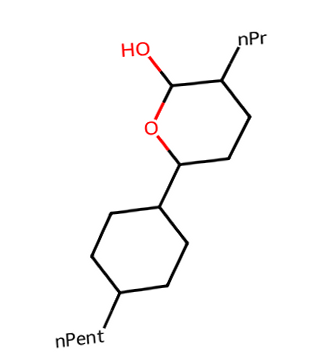 CCCCCC1CCC(C2CCC(CCC)C(O)O2)CC1